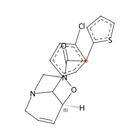 O=C(Cc1cccs1)N1CN2CC=C[C@H](O1)C2c1ccc(Cl)cc1